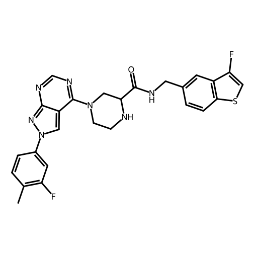 Cc1ccc(-n2cc3c(N4CCNC(C(=O)NCc5ccc6scc(F)c6c5)C4)ncnc3n2)cc1F